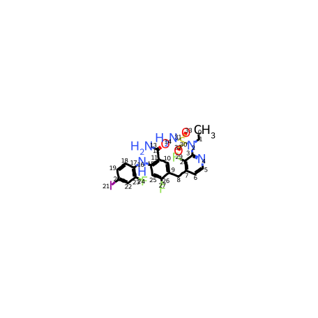 CCN(c1nccc(Cc2cc(C(N)=O)c(Nc3ccc(I)cc3F)cc2F)c1F)S(N)(=O)=O